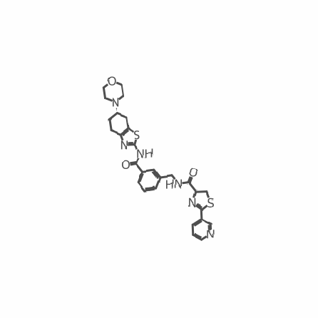 O=C(Nc1nc2c(s1)C[C@@H](N1CCOCC1)CC2)c1cccc(CNC(=O)C2CSC(c3cccnc3)=N2)c1